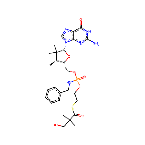 C[C@@H]1[C@@H](COP(=O)(NCc2ccccc2)OCCSC(=O)C(C)(C)CO)O[C@@H](n2cnc3c(=O)[nH]c(N)nc32)C1(C)C